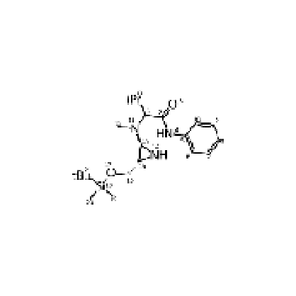 CC(C)[C@@H](C(=O)Nc1ccccc1)N(C)[C@H]1N[C@@H]1CO[Si](C)(C)C(C)(C)C